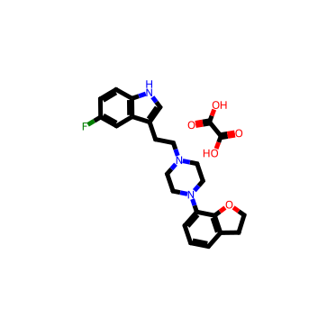 Fc1ccc2[nH]cc(CCN3CCN(c4cccc5c4OCC5)CC3)c2c1.O=C(O)C(=O)O